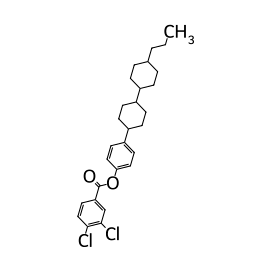 CCCC1CCC(C2CCC(c3ccc(OC(=O)c4ccc(Cl)c(Cl)c4)cc3)CC2)CC1